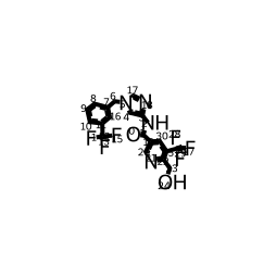 O=C(Nc1cn(Cc2cccc(C(F)(F)F)c2)cn1)c1cnc(CO)c(C(F)(F)F)c1